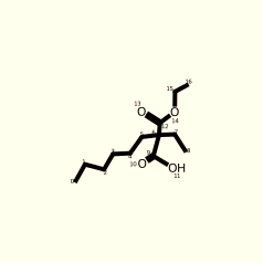 CCCCCCC(CC)(C(=O)O)C(=O)OCC